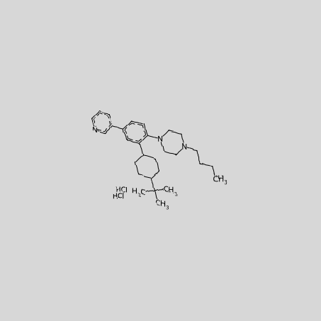 CCCCN1CCN(c2ccc(-c3cccnc3)cc2C2CCC(C(C)(C)C)CC2)CC1.Cl.Cl